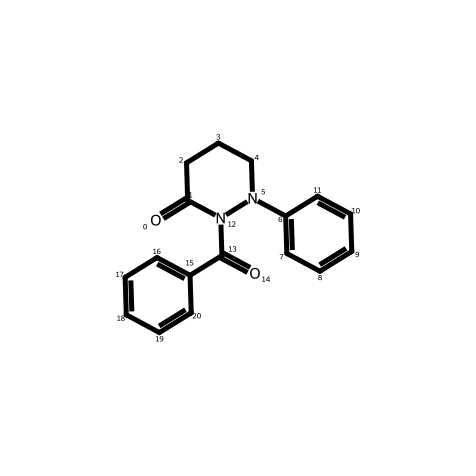 O=C1CCCN(c2ccccc2)N1C(=O)c1ccccc1